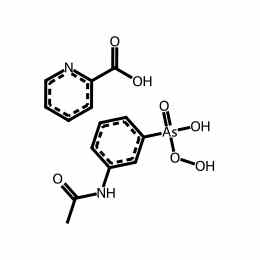 CC(=O)Nc1cccc([As](=O)(O)OO)c1.O=C(O)c1ccccn1